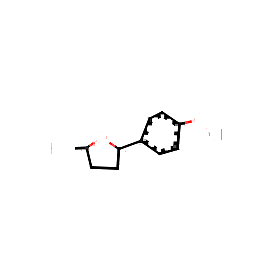 [CH2]C1CCC(c2ccc(OC)cc2)O1